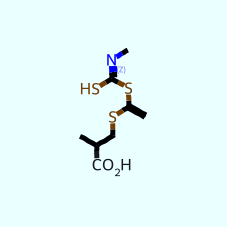 C=C(SCC(C)C(=O)O)S/C(S)=N\C